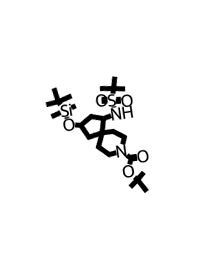 CC(C)(C)OC(=O)N1CCC2(CC1)CC(O[Si](C)(C)C(C)(C)C)CC2NS(=O)(=O)C(C)(C)C